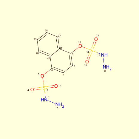 NNS(=O)(=O)Oc1ccc(OS(=O)(=O)NN)c2ccccc12